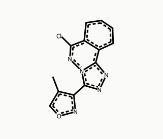 Cc1conc1-c1nnc2c3ccccc3c(Cl)nn12